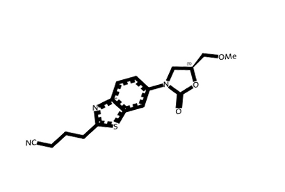 COC[C@@H]1CN(c2ccc3nc(CCCC#N)sc3c2)C(=O)O1